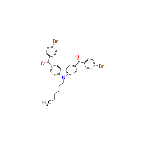 CCCCCCn1c2ccc(C(=O)c3ccc(Br)cc3)cc2c2cc(C(=O)c3ccc(Br)cc3)ccc21